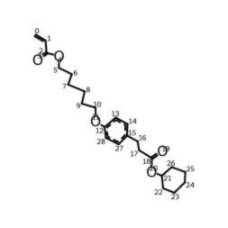 C=CC(=O)OCCCCCCOc1ccc(CCC(=O)OC2CCCCC2)cc1